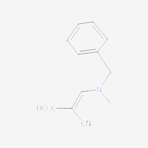 CN(/C=C(\C#N)C(=O)O)Cc1ccccc1